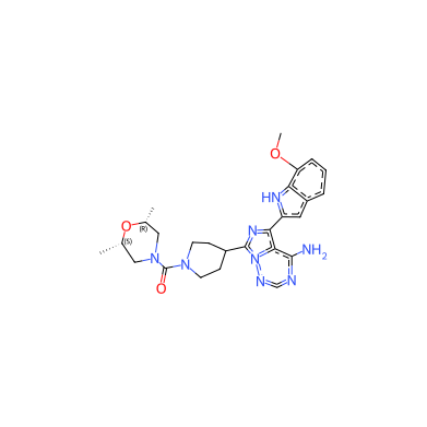 COc1cccc2cc(-c3nc(C4CCN(C(=O)N5C[C@@H](C)O[C@@H](C)C5)CC4)n4ncnc(N)c34)[nH]c12